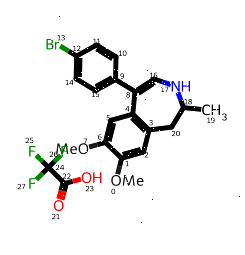 COc1cc2c(cc1OC)C(c1ccc(Br)cc1)=CNC(C)C2.O=C(O)C(F)(F)F